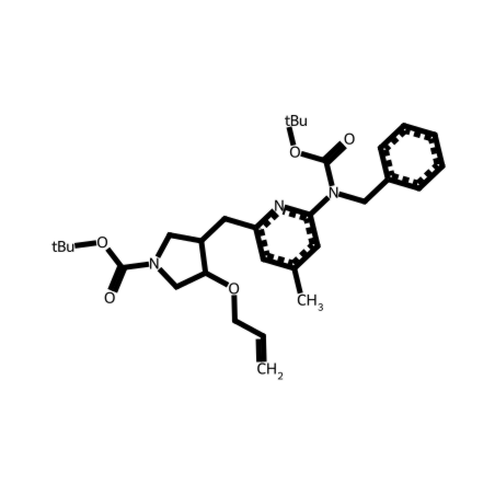 C=CCOC1CN(C(=O)OC(C)(C)C)CC1Cc1cc(C)cc(N(Cc2ccccc2)C(=O)OC(C)(C)C)n1